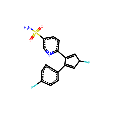 NS(=O)(=O)c1ccc(C2=CC(F)C=C2c2ccc(F)cc2)nc1